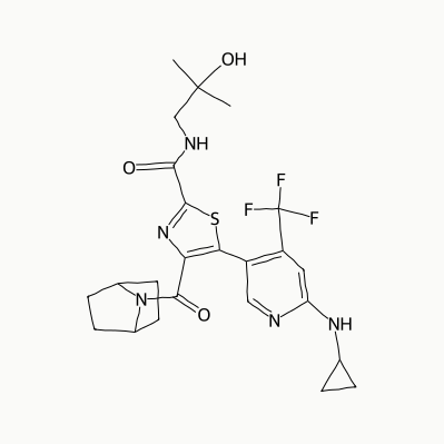 CC(C)(O)CNC(=O)c1nc(C(=O)N2C3CCC2CC3)c(-c2cnc(NC3CC3)cc2C(F)(F)F)s1